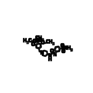 CCOc1cc(CN2CCC(Nc3nc4cc(S(N)(=O)=O)ccc4o3)CC2)cc(OCC)c1S(C)(=O)=O